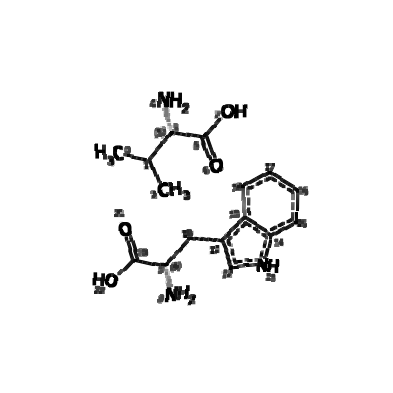 CC(C)[C@H](N)C(=O)O.N[C@@H](Cc1c[nH]c2ccccc12)C(=O)O